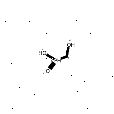 O=[PH](O)CO